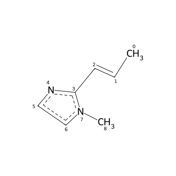 CC=Cc1nccn1C